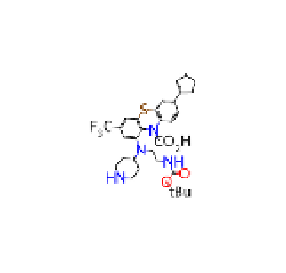 CC(C)(C)OC(=O)NCCN(c1cc(C(F)(F)F)cc2c1N(C(=O)O)c1ccc(C3=CCCC3)cc1S2)C1CCNCC1